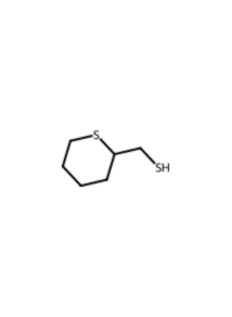 SCC1CCCCS1